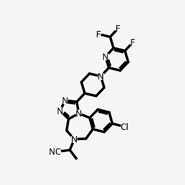 CC(C#N)N1Cc2cc(Cl)ccc2-n2c(nnc2C2CCN(c3ccc(F)c(C(F)F)n3)CC2)C1